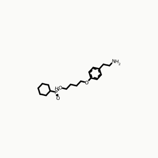 NCCc1ccc(OCCCCO[PH](=O)C2CCCCC2)cc1